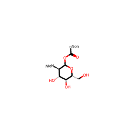 CCCCCCCCCC(=O)OC1O[C@H](CO)[C@@H](O)[C@H](O)[C@H]1NC